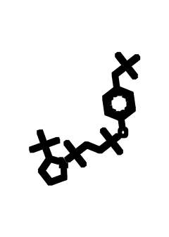 CC(C)(C)Cc1ccc(OC(C)(C)CCC(C)(C)N2CCCC2C(C)(C)C)cc1